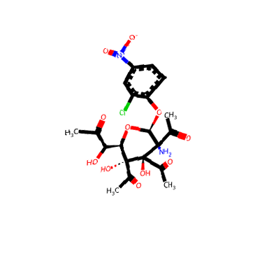 CC(=O)C(O)[C@H]1O[C@@H](Oc2ccc([N+](=O)[O-])cc2Cl)[C@@](N)(C(C)=O)[C@](O)(C(C)=O)[C@@]1(O)C(C)=O